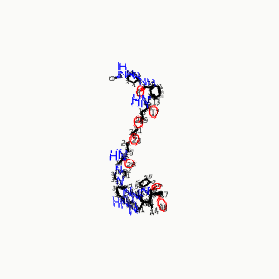 CNc1ccc(NC(=O)c2ccccc2NC(=O)CCOCCOCCNC(=O)CN2CCN(c3ccc(Nc4ncc5c(C)c(C(C)=O)c(=O)n(C6CCCC6)c5n4)nc3)CC2)nn1